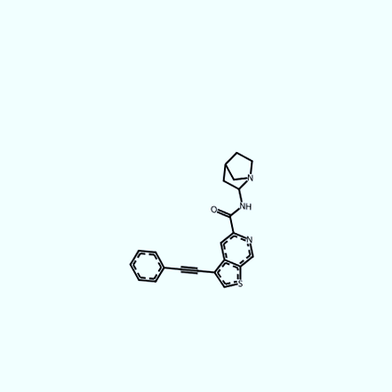 O=C(NC1CC2CCN1C2)c1cc2c(C#Cc3ccccc3)csc2cn1